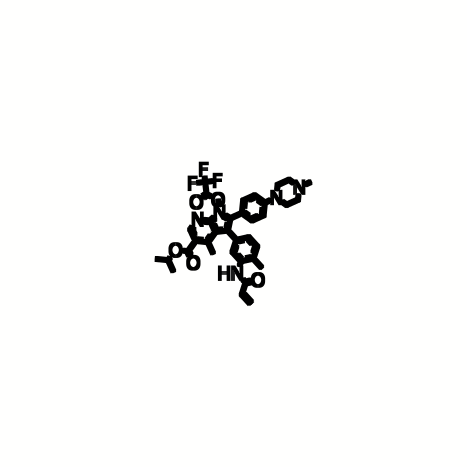 C=CC(=O)Nc1cc(-c2c(-c3ccc(N4CCN(C)CC4)cc3)n(OC(=O)C(F)(F)F)c3ncc(C(=O)OC(C)C)c(C)c23)ccc1C